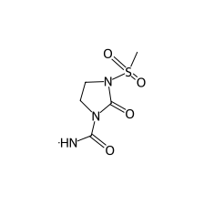 CS(=O)(=O)N1CCN(C([NH])=O)C1=O